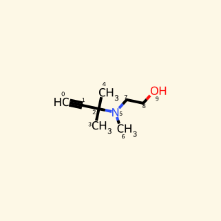 C#CC(C)(C)N(C)CCO